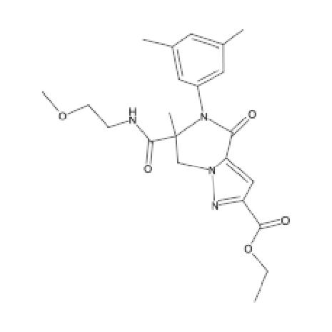 CCOC(=O)c1cc2n(n1)CC(C)(C(=O)NCCOC)N(c1cc(C)cc(C)c1)C2=O